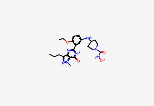 CCCc1nn(C)c2c(=O)[nH]c(-c3cc(NC4CCN(C(=O)NO)CC4)ccc3OCC)nc12